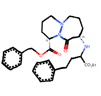 CCOC(=O)C(CCc1ccccc1)N[C@H]1CCCN2CCC[C@@H](C(=O)OCc3ccccc3)N2C1=O